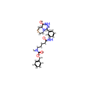 CN(CCCCC(=O)Nc1cccc(C2=NNC(=O)C3CSCCN23)c1)C(=O)OCc1ccccc1